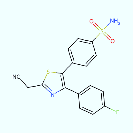 N#CCc1nc(-c2ccc(F)cc2)c(-c2ccc(S(N)(=O)=O)cc2)s1